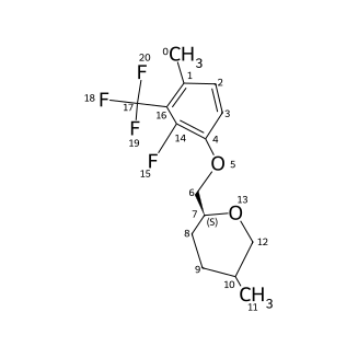 Cc1ccc(OC[C@@H]2CCC(C)CO2)c(F)c1C(F)(F)F